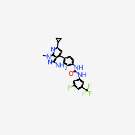 Cn1nc(N)c2c(-c3ccc(NC(=O)Nc4cc(F)cc(C(F)(F)F)c4)cc3)cc(C3CC3)nc21